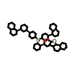 c1cc(-c2ccc(N(c3ccc(-c4cccc5ccccc45)cc3)c3ccccc3-c3ccc4oc5c6ccccc6ccc5c4c3)cc2)cc(-c2cccc3ccccc23)c1